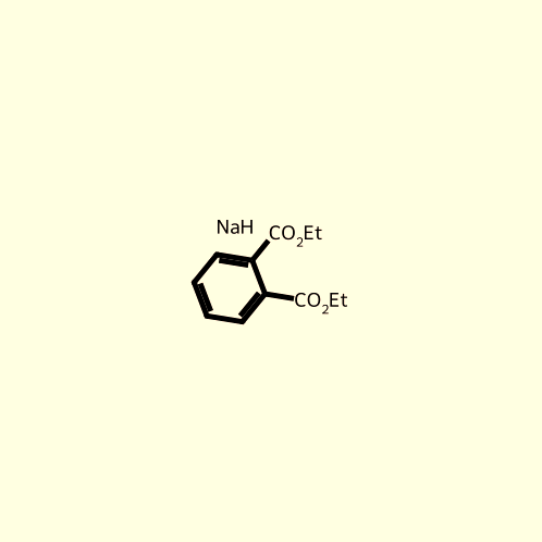 CCOC(=O)c1ccccc1C(=O)OCC.[NaH]